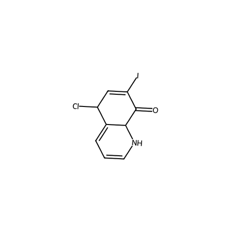 O=C1C(I)=CC(Cl)C2=CC=CNC12